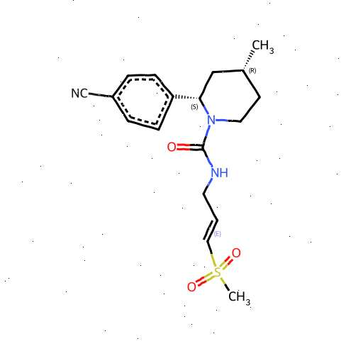 C[C@@H]1CCN(C(=O)NC/C=C/S(C)(=O)=O)[C@H](c2ccc(C#N)cc2)C1